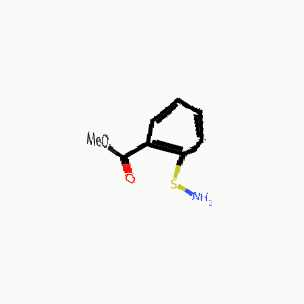 COC(=O)c1ccc[c]c1SN